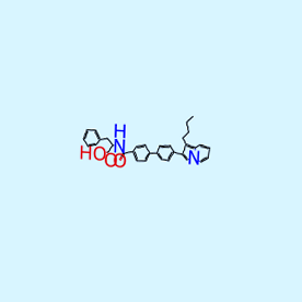 CCCCc1c(-c2ccc(-c3ccc(C(=O)NC(Cc4ccccc4)C(=O)O)cc3)cc2)cn2ccccc12